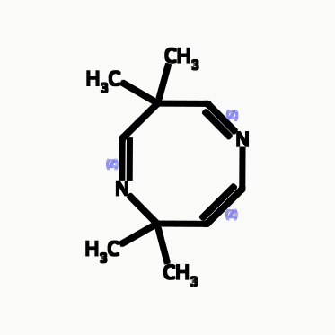 CC1(C)/C=N\C=C/C(C)(C)/N=C\1